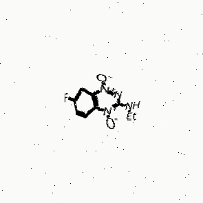 CCNc1n[n+]([O-])c2cc(F)ccc2[n+]1[O-]